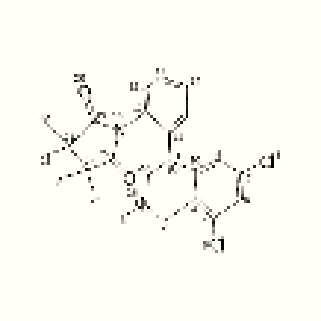 CN1Cc2c(Cl)cc(Cl)cc2[C@H](c2ccccc2N2C(=O)C(C)(C)C(C)(C)C2=O)C1